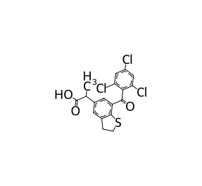 CC(C(=O)O)c1cc2c(c(C(=O)c3c(Cl)cc(Cl)cc3Cl)c1)SCC2